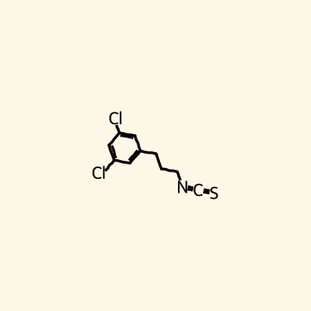 S=C=NCCCc1cc(Cl)cc(Cl)c1